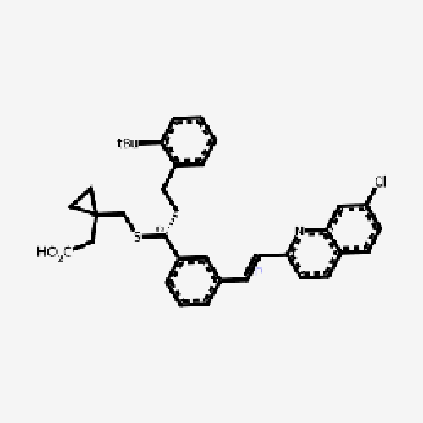 CC(C)(C)c1ccccc1CC[C@@H](SCC1(CC(=O)O)CC1)c1cccc(/C=C/c2ccc3ccc(Cl)cc3n2)c1